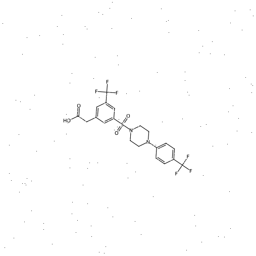 O=C(O)Cc1cc(C(F)(F)F)cc(S(=O)(=O)N2CCN(c3ccc(C(F)(F)F)cc3)CC2)c1